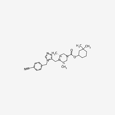 C[C@@H]1CN(C(=O)OC2CCCC(C)(C)C2)C[C@H](C)N1Cc1cncn1Cc1ccc(C#N)cc1